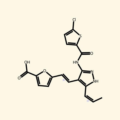 C/C=C\c1[nH]nc(NC(=O)c2ccc(Cl)s2)c1/C=C/c1ccc(C(=O)O)o1